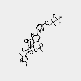 CC(=O)OB(NS(=O)(=O)c1cn(C)nc1C)c1ccc(-n2ccc(OCC(C)(C)C(F)(F)F)n2)nc1Cl